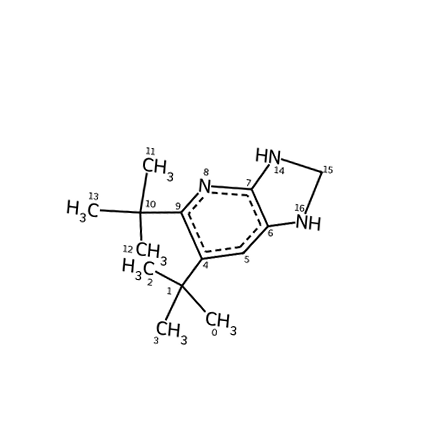 CC(C)(C)c1cc2c(nc1C(C)(C)C)NCN2